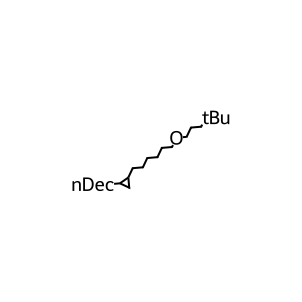 CCCCCCCCCCC1CC1CCCCCCOCCCC(C)(C)C